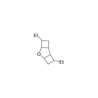 CCC1CC2C1OC1CC(CC)C12